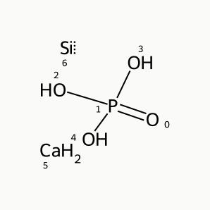 O=P(O)(O)O.[CaH2].[Si]